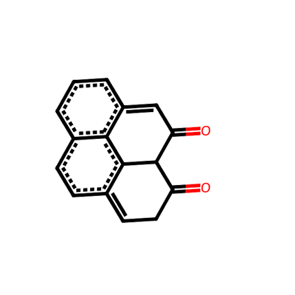 O=C1C=c2cccc3ccc4c(c23)C1C(=O)CC=4